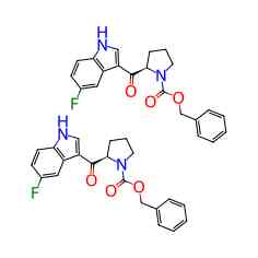 O=C(c1c[nH]c2ccc(F)cc12)[C@H]1CCCN1C(=O)OCc1ccccc1.O=C(c1c[nH]c2ccc(F)cc12)[C@H]1CCCN1C(=O)OCc1ccccc1